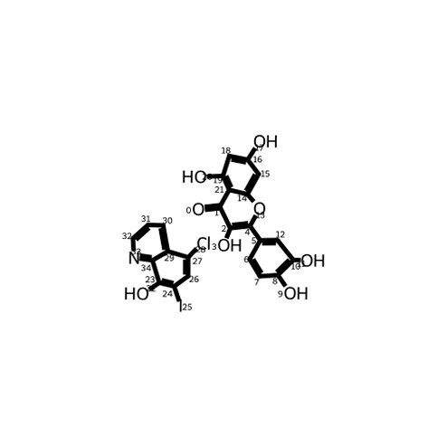 O=c1c(O)c(-c2ccc(O)c(O)c2)oc2cc(O)cc(O)c12.Oc1c(I)cc(Cl)c2cccnc12